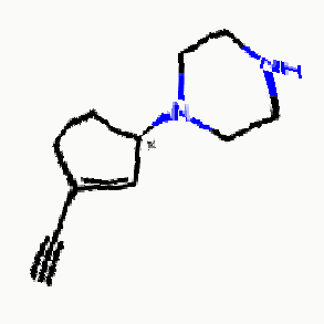 C#CC1=C[C@H](N2CCNCC2)CC1